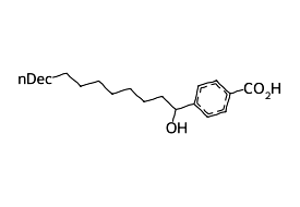 CCCCCCCCCCCCCCCCCC(O)c1ccc(C(=O)O)cc1